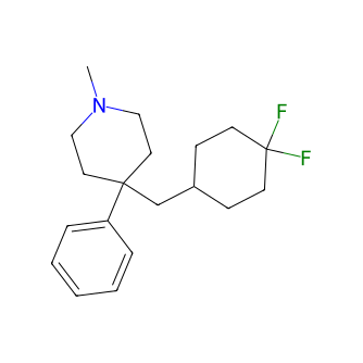 CN1CCC(CC2CCC(F)(F)CC2)(c2ccccc2)CC1